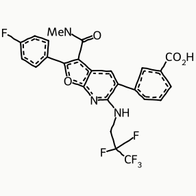 CNC(=O)c1c(-c2ccc(F)cc2)oc2nc(NCC(F)(F)C(F)(F)F)c(-c3cccc(C(=O)O)c3)cc12